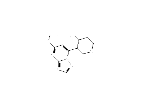 CSc1cc(C2CNCCC2C)n2ncnc2n1